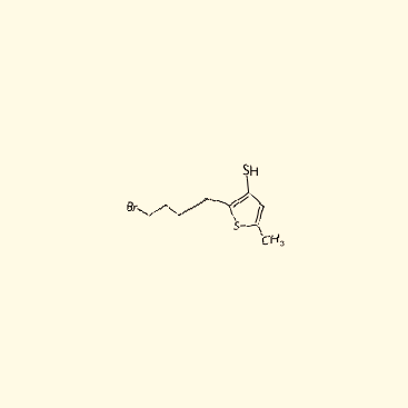 Cc1cc(S)c(CCCCBr)s1